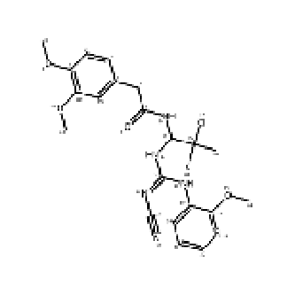 COc1ccc(CC(=O)NC(N/C(=N/C#N)Nc2cccnc2OC)C(C)(Cl)Cl)cc1OC